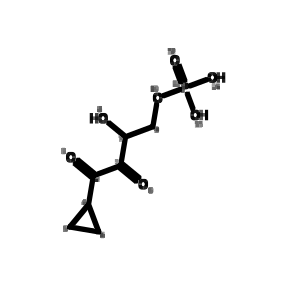 O=C(C(=O)C1CC1)C(O)COP(=O)(O)O